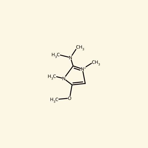 COc1c[n+](C)c(N(C)C)n1C